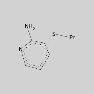 CC(C)Sc1cccnc1N